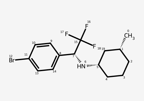 C[C@@H]1CCC[C@H](N[C@H](c2ccc(Br)cc2)C(F)(F)F)C1